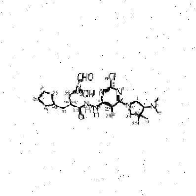 CN(C)C1CN(c2nc(Cl)nc(NNC(=O)[C@@H](CC3CCCC3)CN(O)C=O)c2F)CC1(C)C